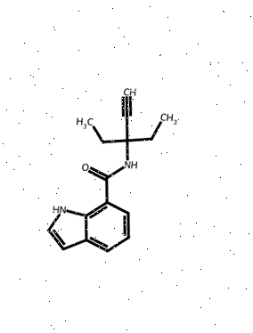 C#CC(CC)(CC)NC(=O)c1cccc2cc[nH]c12